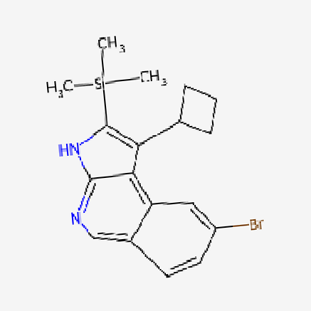 C[Si](C)(C)c1[nH]c2ncc3ccc(Br)cc3c2c1C1CCC1